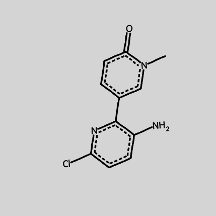 Cn1cc(-c2nc(Cl)ccc2N)ccc1=O